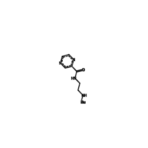 CCC(C)NCCNC(=O)c1cnccn1